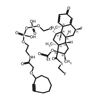 CCC(=O)O[C@]1(C(=O)SCF)[C@H](C)C[C@H]2[C@@H]3C[C@H](F)C4=CC(=O)C=C[C@]4(C)[C@@]3(F)[C@@H](OCOP(=O)(O)OP(=O)(O)OCCNC(=O)COC3C#CCCCCC3)C[C@@]21C